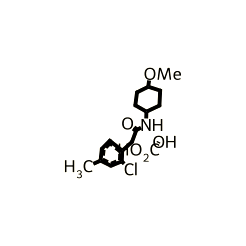 COC1CCC(NC(=O)Cc2ccc(C)cc2Cl)CC1.O=C(O)O